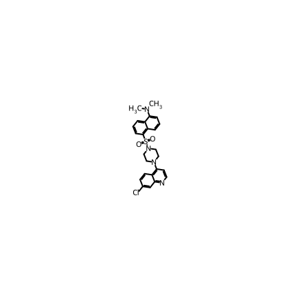 CN(C)c1cccc2c(S(=O)(=O)N3CCN(c4ccnc5cc(Cl)ccc45)CC3)cccc12